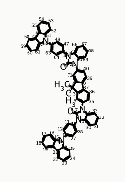 CC1(C)c2cc(-n3c(=O)n(-c4ccc(-n5c6ccccc6c6ccccc65)cc4)c4ccccc43)ccc2-c2ccc(-n3c(=O)n(-c4ccc(-n5c6ccccc6c6ccccc65)cc4)c4ccccc43)cc21